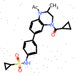 CC(=O)N1c2ccc(-c3ccc(NS(=O)(=O)C4CC4)cc3)cc2N(C(=O)C2CC2)CC1C